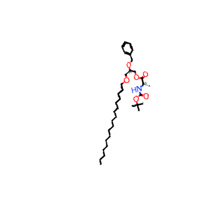 CCCCCCCCCCCCCCCCCCOC[C@H](COC(=O)[C@H](C)NC(=O)OC(C)(C)C)OCc1ccccc1